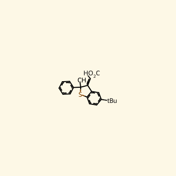 CC(C)(C)c1ccc2c(c1)C(=CC(=O)O)C(C)(c1ccccc1)S2